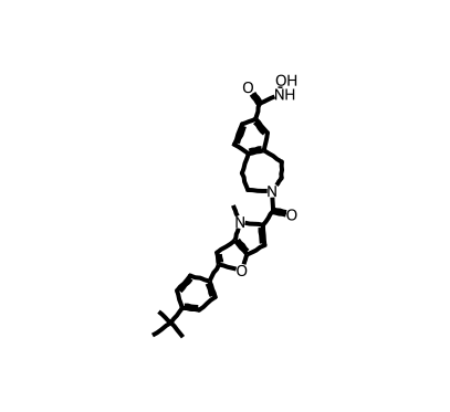 Cn1c(C(=O)N2CCc3ccc(C(=O)NO)cc3CC2)cc2oc(-c3ccc(C(C)(C)C)cc3)cc21